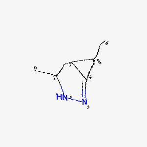 CC1NN=C2C(C)C21